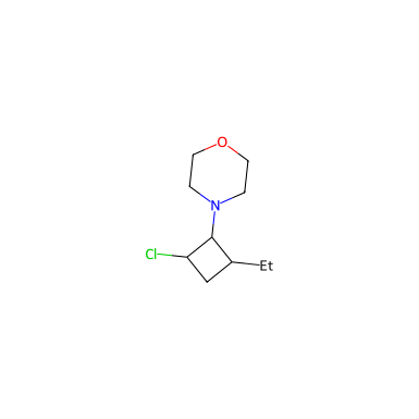 CCC1CC(Cl)C1N1CCOCC1